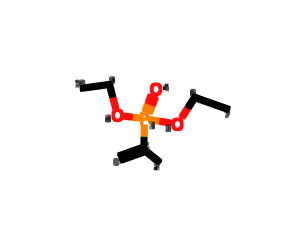 C=C(C)P(=O)(OCC)OCC